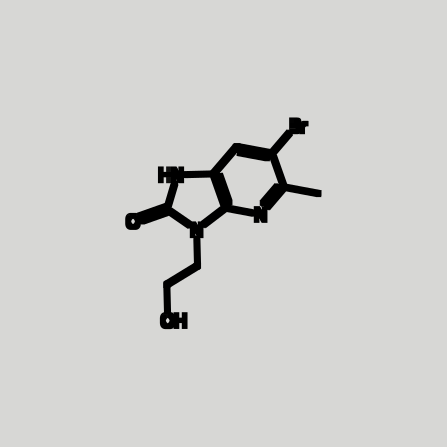 Cc1nc2c(cc1Br)[nH]c(=O)n2CCO